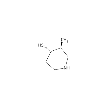 C[C@H]1CNCC[C@@H]1S